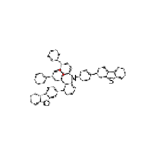 c1ccc(-c2ccc(N(c3ccc(-c4ccc5c(c4)sc4ccccc45)cc3)c3cccc(-c4ccc5c(c4)oc4ccccc45)c3-c3cccc(-c4ccccc4)c3)cc2)cc1